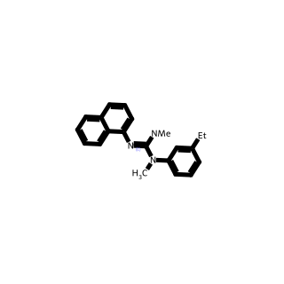 CCc1cccc(N(C)/C(=N/c2cccc3ccccc23)NC)c1